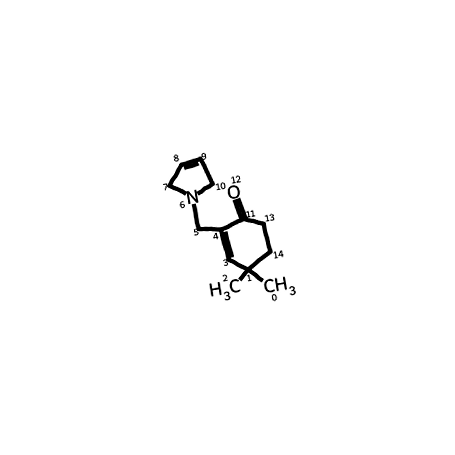 CC1(C)C=C(CN2CC=CC2)C(=O)CC1